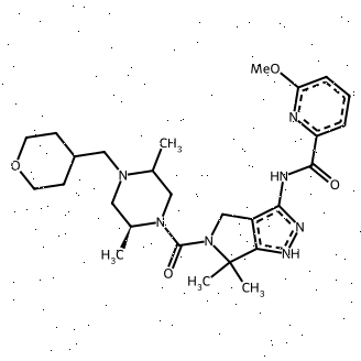 COc1cccc(C(=O)Nc2n[nH]c3c2CN(C(=O)N2CC(C)N(CC4CCOCC4)C[C@@H]2C)C3(C)C)n1